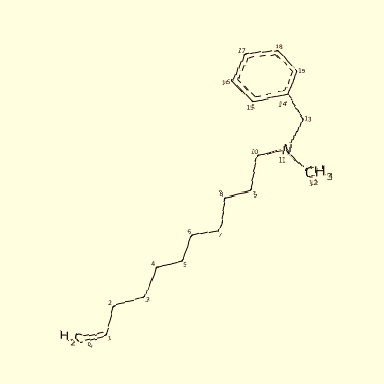 C=CCCCCCCCCCN(C)Cc1ccccc1